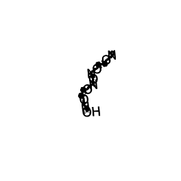 Cc1c(OCCCN(C)CCOCCN(C)CCCOc2cccc(-c3cccc(OCCCN4CC[C@@H](O)C4)c3C)c2C)cccc1-c1cccc(OCCCN2CCCC2)c1C